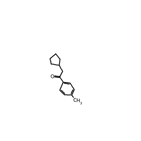 Cc1ccc(C(=O)CC2CCCC2)cc1